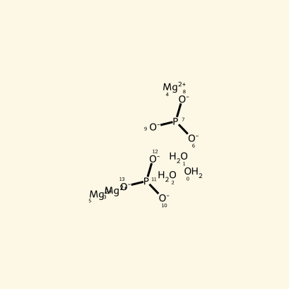 O.O.O.[Mg+2].[Mg+2].[Mg+2].[O-]P([O-])[O-].[O-]P([O-])[O-]